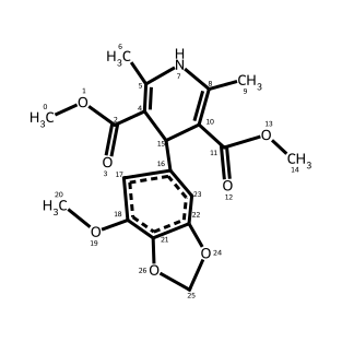 COC(=O)C1=C(C)NC(C)=C(C(=O)OC)C1c1cc(OC)c2c(c1)OCO2